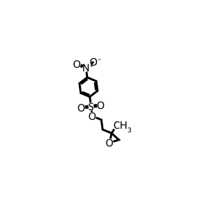 CC1(CCOS(=O)(=O)c2ccc([N+](=O)[O-])cc2)CO1